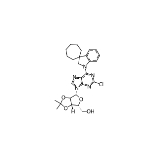 CC1(C)OC2[C@@H](O1)[C@@H](CO)O[C@H]2n1cnc2c(N3CC4(CCCCCC4)c4ccccc43)nc(Cl)nc21